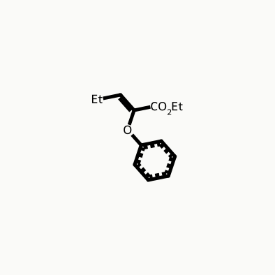 CC/C=C(\Oc1ccccc1)C(=O)OCC